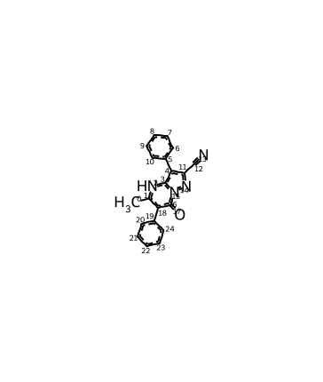 Cc1[nH]c2c(-c3ccccc3)c(C#N)nn2c(=O)c1-c1ccccc1